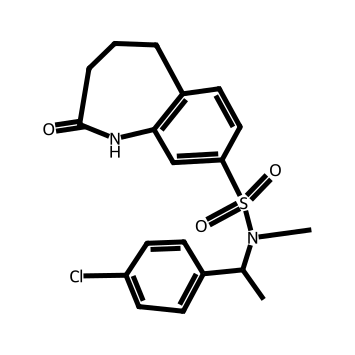 CC(c1ccc(Cl)cc1)N(C)S(=O)(=O)c1ccc2c(c1)NC(=O)CCC2